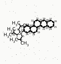 CC(C)C[Si](CC(C)C)(CC(C)C)c1ccc2c(ccc3c4cc5ccccc5cc4ccc23)c1